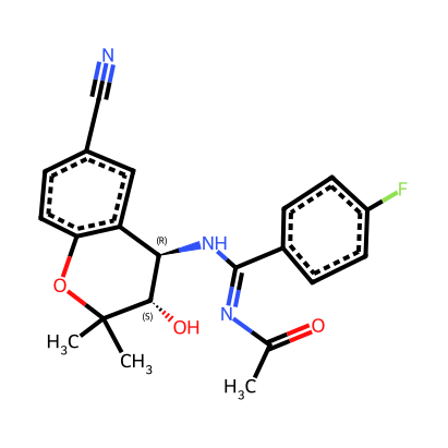 CC(=O)N=C(N[C@@H]1c2cc(C#N)ccc2OC(C)(C)[C@H]1O)c1ccc(F)cc1